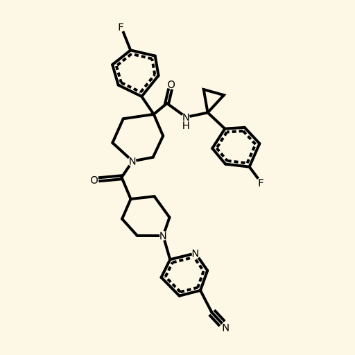 N#Cc1ccc(N2CCC(C(=O)N3CCC(C(=O)NC4(c5ccc(F)cc5)CC4)(c4ccc(F)cc4)CC3)CC2)nc1